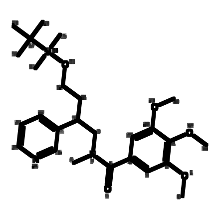 COc1cc(C(=O)N(C)CC(CCO[Si](C)(C)C(C)(C)C)c2cccnc2)cc(OC)c1OC